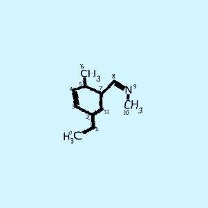 CCC1C=CC(C)C(/C=N\C)C1